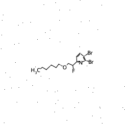 CCCCCCOCC(F)c1ccc(Br)c(Br)n1